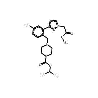 CC(C)(C)OC(=O)Cn1ccc(-c2cc(C(F)(F)F)ccc2CN2CCN(C(=O)OC(C(F)(F)F)C(F)(F)F)CC2)n1